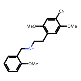 COc1cc(CCNCc2ccccc2OC)c(OC)cc1C#N